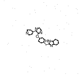 [C](c1ccc(Oc2nccnc2-c2ccncc2)cc1)c1nc2ccccc2[nH]1